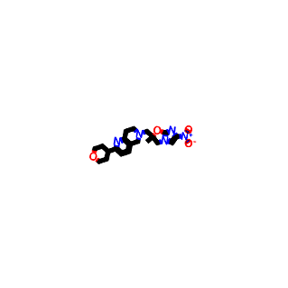 CC1(CN2CCc3nc(C4CCOCC4)ccc3C2)Cn2cc([N+](=O)[O-])nc2O1